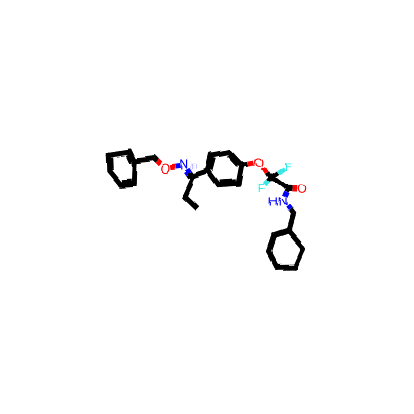 CC/C(=N\OCc1ccccc1)c1ccc(OC(F)(F)C(=O)NCC2CCCCC2)cc1